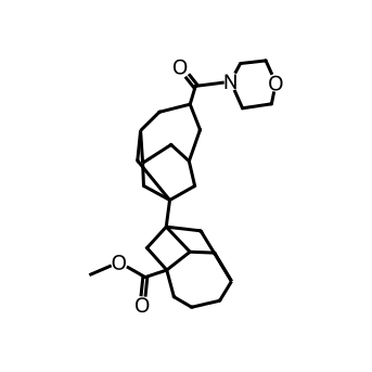 COC(=O)C12CCCC3CC1C(C14CC5CC(C(=O)N6CCOCC6)CC(C1)C(C5)C4)(C3)C2